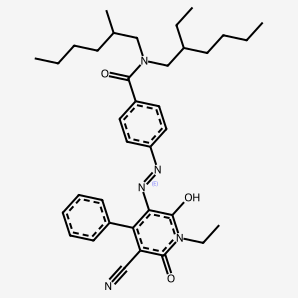 CCCCC(C)CN(CC(CC)CCCC)C(=O)c1ccc(/N=N/c2c(-c3ccccc3)c(C#N)c(=O)n(CC)c2O)cc1